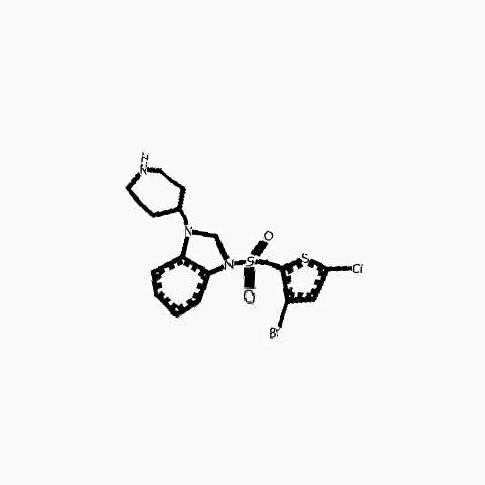 O=S(=O)(c1sc(Cl)cc1Br)N1CN(C2CCNCC2)c2ccccc21